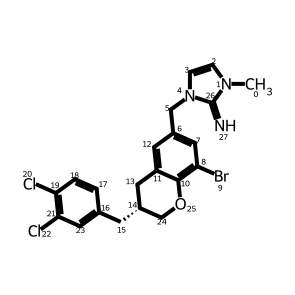 Cn1ccn(Cc2cc(Br)c3c(c2)C[C@@H](Cc2ccc(Cl)c(Cl)c2)CO3)c1=N